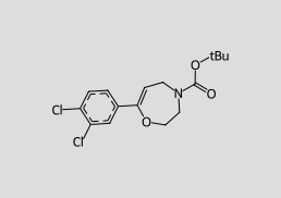 CC(C)(C)OC(=O)N1CC=C(c2ccc(Cl)c(Cl)c2)OCC1